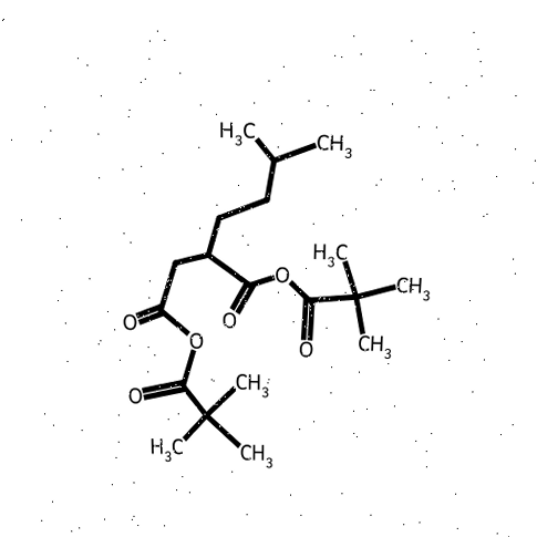 CC(C)CCC(CC(=O)OC(=O)C(C)(C)C)C(=O)OC(=O)C(C)(C)C